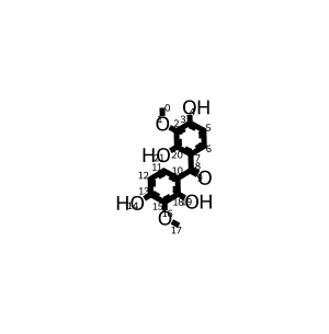 COc1c(O)ccc(C(=O)c2ccc(O)c(OC)c2O)c1O